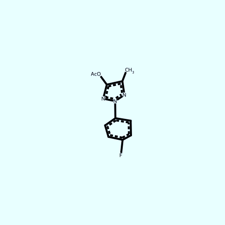 CC(=O)Oc1nn(-c2ccc(F)cc2)nc1C